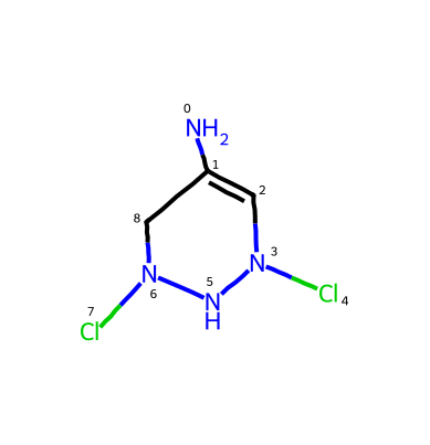 NC1=CN(Cl)NN(Cl)C1